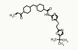 C=CC(=O)N1CCC(CN2CCC(C(=O)Nc3ncc(SCc4ncc(C(C)(C)C)o4)s3)CC2)CC1